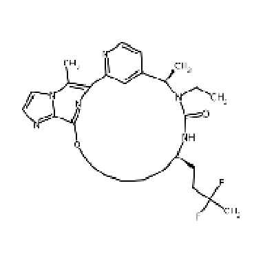 CCN1C(=O)N[C@@H](CCC(C)(F)F)CCCCCOc2nc(c(C)n3ccnc23)-c2cc(ccn2)[C@H]1C